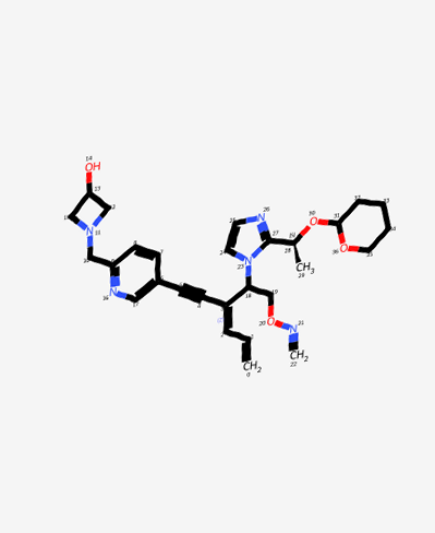 C=C/C=C(/C#Cc1ccc(CN2CC(O)C2)nc1)C(CON=C)n1ccnc1[C@H](C)OC1CCCCO1